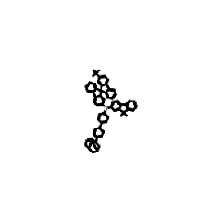 CC(C)(C)c1ccc2c(c1)C1(c3ccccc3-c3ccc(N(c4ccc(-c5ccc(C67CC8CC(CC(C8)C6)C7)cc5)cc4)c4ccc5c(c4)C(C)(C)c4ccccc4-5)cc31)c1ccccc1-2